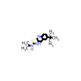 CC(C)NC(=S)Nc1cnc2ccc(C(C)(C)C)cc2c1